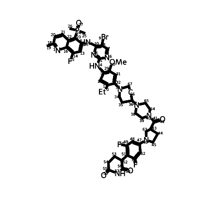 CCc1cc(Nc2ncc(Br)c(Nc3cc(F)c4nc(C)ccc4c3P(C)(C)=O)n2)c(OC)cc1N1CCC(N2CCN(C(=O)C3CCN(c4cc(F)c(C5CCC(=O)NC5=O)c(F)c4)C3)CC2)CC1